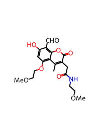 COCCNC(=O)Cc1c(C)c2c(OCCOC)cc(O)c(C=O)c2oc1=O